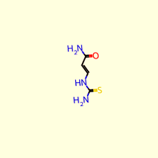 NC(=O)C=CNC(N)=S